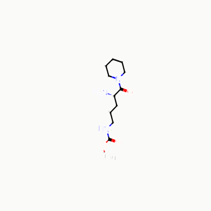 CC(C)(C)OC(=O)NCCC[C@@H](N)C(=O)N1CC[CH]CC1